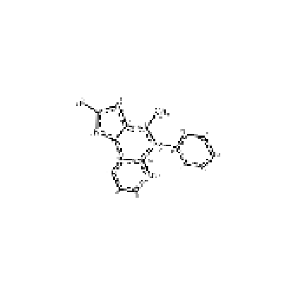 Cc1c2nc(S)nc-2c2cccnc2n1-c1ccccc1